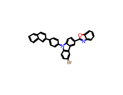 Brc1ccc2c(c1)c1cc(-c3nc4ccccc4o3)ccc1n2-c1ccc(-c2ccc3ccccc3c2)cc1